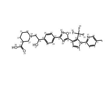 Cc1ccc(-n2ncc(-c3nc(-c4ccc(C(O)CN5CCCC(C(=O)O)C5)cc4)no3)c2C(F)(F)F)nc1